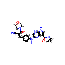 CC(C)(C)NC(=O)c1c[nH]c2ncc(Nc3ccc(C=C(C#N)C(=O)N4CCOCC4)cc3)nc12